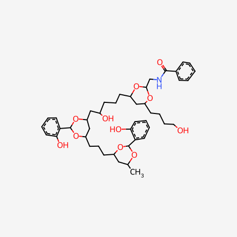 CC1CC(CCCC2CC(CC(O)CCCC3CC(CCCCO)OC(CNC(=O)c4ccccc4)O3)OC(c3ccccc3O)O2)OC(c2ccccc2O)O1